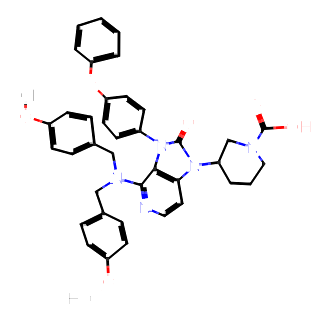 COc1ccc(CN(Cc2ccc(OC)cc2)c2nccc3c2n(-c2ccc(Oc4ccccc4)cc2)c(=O)n3C2CCCN(C(=O)O)C2)cc1